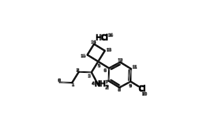 CCCC(N)C1(c2ccc(Cl)cc2)CCC1.Cl